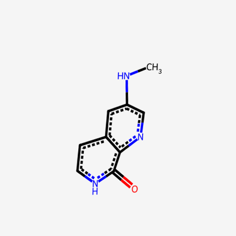 CNc1cnc2c(=O)[nH]ccc2c1